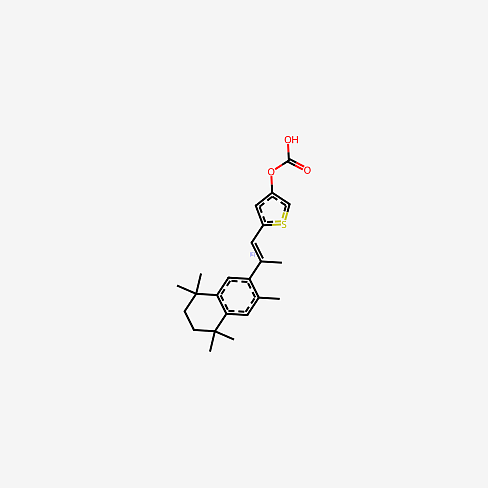 C/C(=C\c1cc(OC(=O)O)cs1)c1cc2c(cc1C)C(C)(C)CCC2(C)C